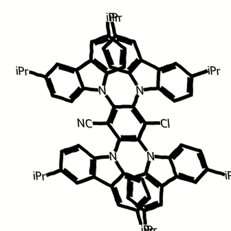 CC(C)c1ccc2c(c1)c1cc(C(C)C)ccc1n2-c1c(Cl)c(-n2c3ccc(C(C)C)cc3c3cc(C(C)C)ccc32)c(-n2c3ccc(C(C)C)cc3c3cc(C(C)C)ccc32)c(C#N)c1-n1c2ccc(C(C)C)cc2c2cc(C(C)C)ccc21